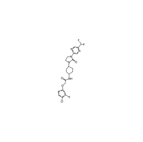 O=C(COc1ccc(Cl)c(F)c1)NC1CCC(N2CCN(c3cnc(C(F)F)cn3)C2=O)CC1